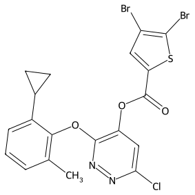 Cc1cccc(C2CC2)c1Oc1nnc(Cl)cc1OC(=O)c1cc(Br)c(Br)s1